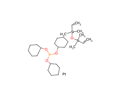 C1CCC(OP(OC2CCCCC2)OC2CCCCC2)CC1.C=C[Si](C)(C)O[Si](C)(C)C=C.[Pt]